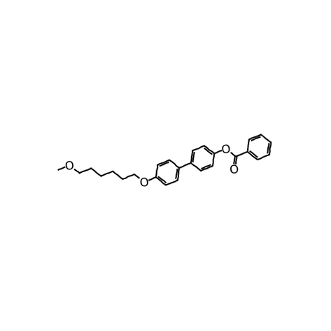 COCCCCCCOc1ccc(-c2ccc(OC(=O)c3ccccc3)cc2)cc1